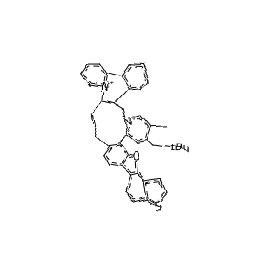 Cc1c[n+]2c(cc1CC(C)(C)C)-c1c(ccc3c1oc1c4ccsc4ccc31)C/C=C/C1C(C2)c2ccccc2-c2cccc[n+]21